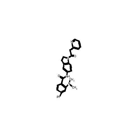 CC(C)c1ccc(C(=O)Nc2ccc3c(c2)CCN3C(=O)Cc2ccccn2)c(N(C)C)c1